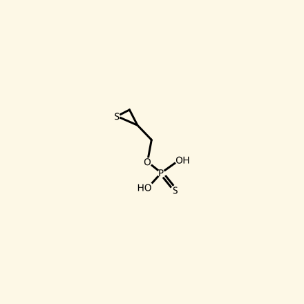 OP(O)(=S)OCC1CS1